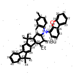 CCCCC1C(N(c2ccc(C)cc2C)c2cccc3c2oc2ccccc23)=CC2=C(c3cc4c(cc3C2(C)C)-c2ccccc2C4(C)C)C1CC